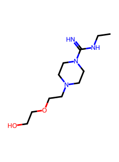 CCNC(=N)N1CCN(CCOCCO)CC1